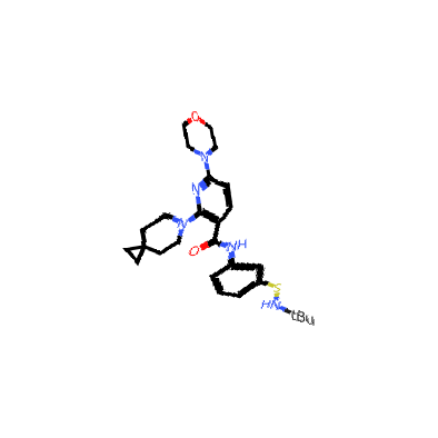 CC(C)(C)NSc1cccc(NC(=O)c2ccc(N3CCOCC3)nc2N2CCC3(CC2)CC3)c1